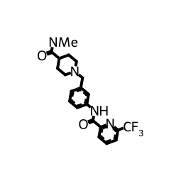 CNC(=O)C1CCN(Cc2cccc(NC(=O)c3cccc(C(F)(F)F)n3)c2)CC1